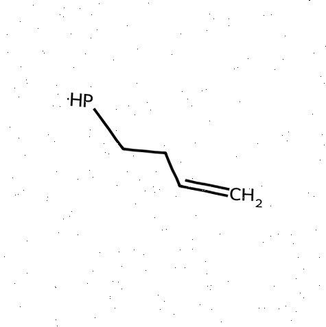 C=CCC[PH]